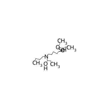 CCCCN(CCCC[SiH](OCC)OCC)C(O)CC